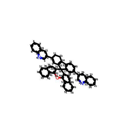 C1=C(c2cnc3ccccc3c2)CCC2=C1C1(c3cc(-c4cnc5ccccc5c4)ccc32)c2ccc3ccccc3c2Oc2c1ccc1ccccc21